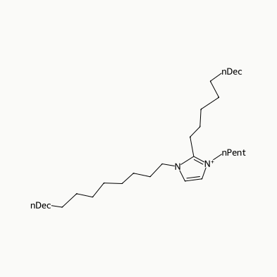 CCCCCCCCCCCCCCCCCCn1cc[n+](CCCCC)c1CCCCCCCCCCCCCCC